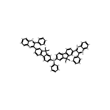 CC1(C)c2cc(-c3nc4ccccc4nc3-c3ccccc3)ccc2-c2ccc(N(c3ccccc3)c3ccc4c(c3)C(C)(C)c3cc(-c5nc6ccccc6nc5-c5ccccc5)ccc3-4)cc21